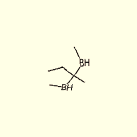 CBC(C)(BC)CC